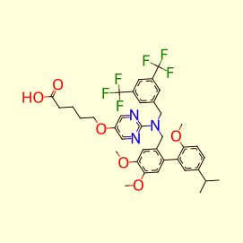 COc1cc(CN(Cc2cc(C(F)(F)F)cc(C(F)(F)F)c2)c2ncc(OCCCCC(=O)O)cn2)c(-c2cc(C(C)C)ccc2OC)cc1OC